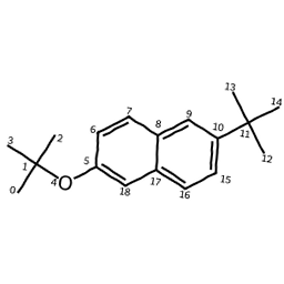 CC(C)(C)Oc1ccc2cc(C(C)(C)C)ccc2c1